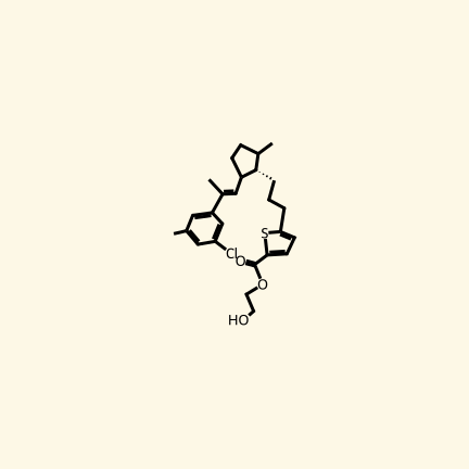 C/C(=C\C1CCC(C)[C@@H]1CCCc1ccc(C(=O)OCCO)s1)c1cc(C)cc(Cl)c1